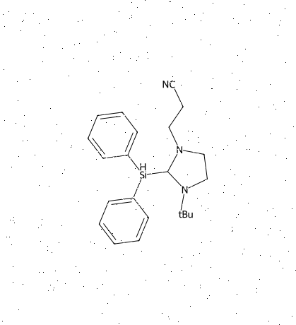 CC(C)(C)N1CCN(CCC#N)C1[SiH](c1ccccc1)c1ccccc1